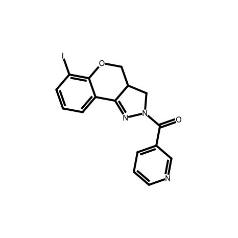 O=C(c1cccnc1)N1CC2COc3c(I)cccc3C2=N1